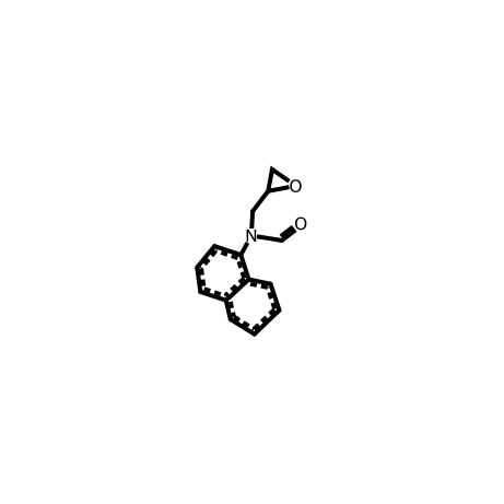 O=CN(CC1CO1)c1cccc2ccccc12